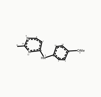 COc1ccc(Nc2c[c]nc(C)n2)cc1